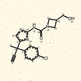 C#CC(C)(c1ccc(Cl)cc1)c1csc(NC(=O)N2CC(CO)C2)n1